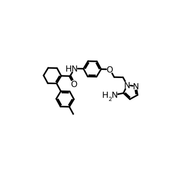 Cc1ccc(C2=C(C(=O)Nc3ccc(OCCn4nccc4N)cc3)CCCC2)cc1